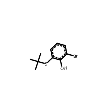 CC(C)(C)Sc1cccc(Br)c1O